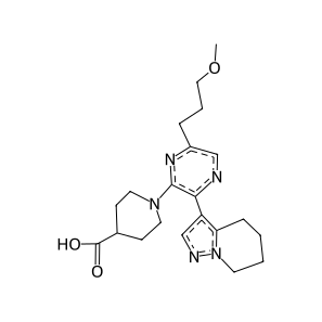 COCCCc1cnc(-c2cnn3c2CCCC3)c(N2CCC(C(=O)O)CC2)n1